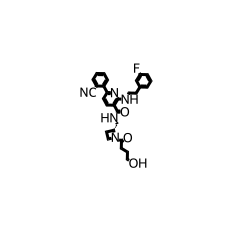 N#Cc1ccccc1-c1ccc(C(=O)NC[C@H]2CCN2C(=O)CCCO)c(NCCc2cccc(F)c2)n1